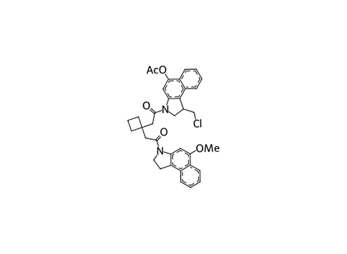 COc1cc2c(c3ccccc13)CCN2C(=O)CC1(CC(=O)N2CC(CCl)c3c2cc(OC(C)=O)c2ccccc32)CCC1